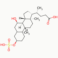 C[C@H](CCC(=O)O)[C@H]1CC[C@H]2[C@@H]3[C@H](O)CC4C[C@H](OS(=O)(=O)O)CC[C@]4(C)[C@H]3CC[C@]12C